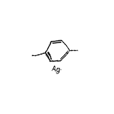 Cc1ccc(C)cc1.[Ag]